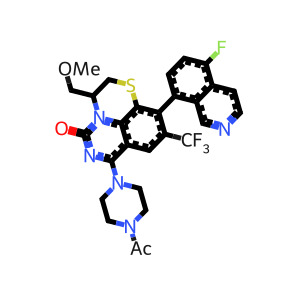 COCC1CSc2c(-c3ccc(F)c4ccncc34)c(C(F)(F)F)cc3c(N4CCN(C(C)=O)CC4)nc(=O)n1c23